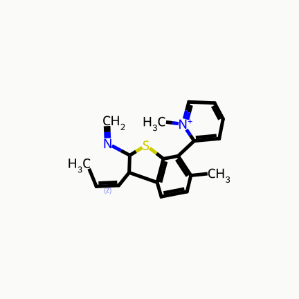 C=NC1Sc2c(ccc(C)c2-c2cccc[n+]2C)C1/C=C\C